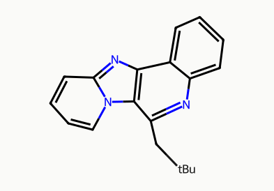 CC(C)(C)Cc1nc2ccccc2c2nc3ccccn3c12